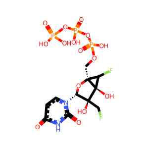 O=c1ccn([C@@H]2O[C@@]3(COP(=O)(O)OP(=O)(O)OP(=O)(O)O)C(F)[C@]3(O)[C@]2(O)CF)c(=O)[nH]1